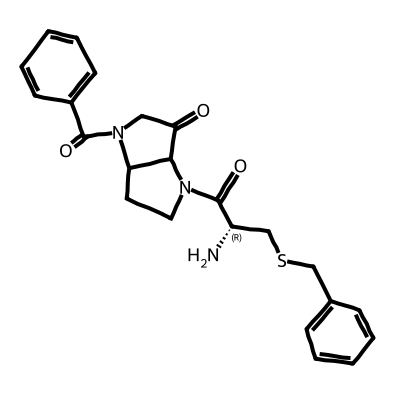 N[C@@H](CSCc1ccccc1)C(=O)N1CCC2C1C(=O)CN2C(=O)c1ccccc1